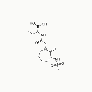 CCC(NC(=O)CN1CCCCC(NS(C)(=O)=O)C1=O)B(O)O